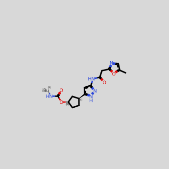 CC[C@H](C)NC(=O)O[C@@H]1CC[C@H](c2cc(NC(=O)Cc3ncc(C)o3)n[nH]2)C1